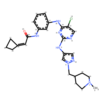 CN1CCC(Cn2cc(Nc3ncc(Cl)c(Nc4cccc(NC(=O)C=C5CCC5)c4)n3)cn2)CC1